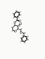 O=C(O[C@@H]1CCO[C@H](COCc2ccccc2)[C@@H]1Cl)c1ccccc1